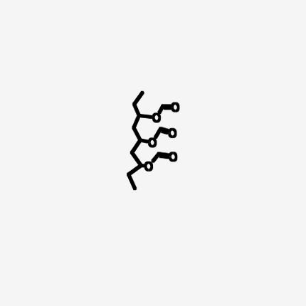 CCC(CC(CC(CC)OC=O)OC=O)OC=O